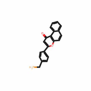 O=c1cc(-c2ccc(CP)cc2)oc2ccc3ccccc3c12